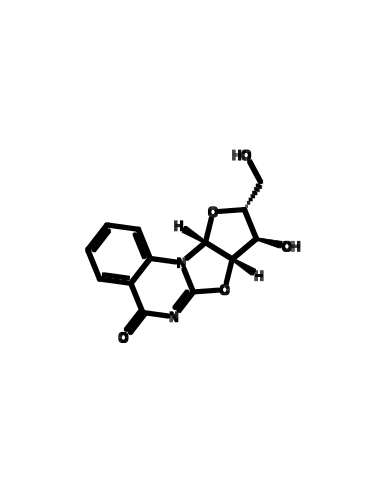 O=c1nc2n(c3ccccc13)[C@@H]1O[C@H](CO)[C@@H](O)[C@@H]1O2